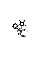 CC1=C(C)C(C)C(c2ccccc2[C](C)(C)[Ti][NH]C(C)(C)C)=C1C.Cl.Cl